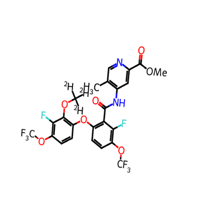 [2H]C([2H])([2H])Oc1c(Oc2ccc(OC(F)(F)F)c(F)c2C(=O)Nc2cc(C(=O)OC)ncc2C)ccc(OC(F)(F)F)c1F